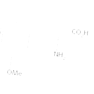 COC1C=CC=C(CC(N)C(=O)O)C1